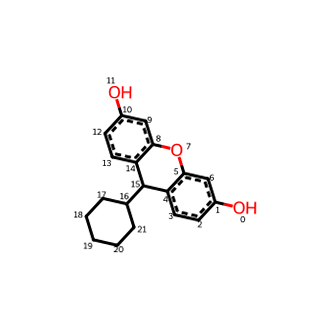 Oc1ccc2c(c1)Oc1cc(O)ccc1C2C1CCCCC1